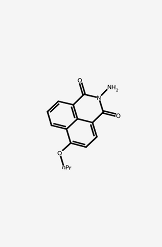 CCCOc1ccc2c3c(cccc13)C(=O)N(N)C2=O